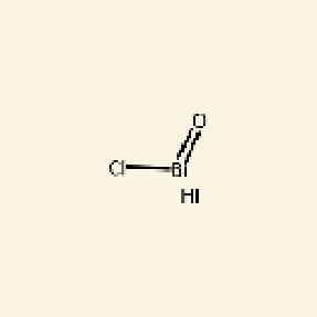 I.[O]=[Bi][Cl]